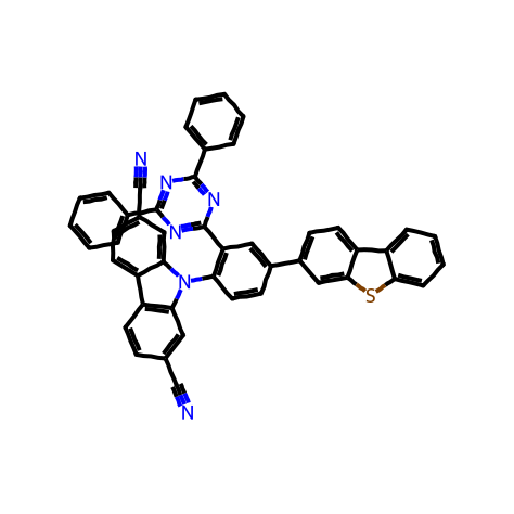 N#Cc1ccc2c3ccc(C#N)cc3n(-c3ccc(-c4ccc5c(c4)sc4ccccc45)cc3-c3nc(-c4ccccc4)nc(-c4ccccc4)n3)c2c1